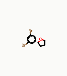 Brc1cccc(Br)c1.C1CCOC1